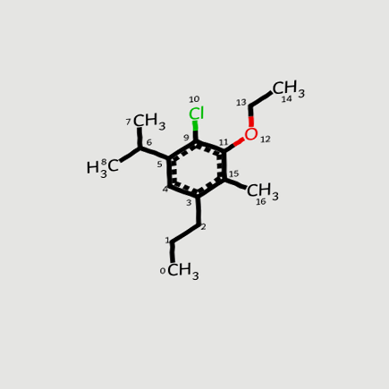 CCCc1cc(C(C)C)c(Cl)c(OCC)c1C